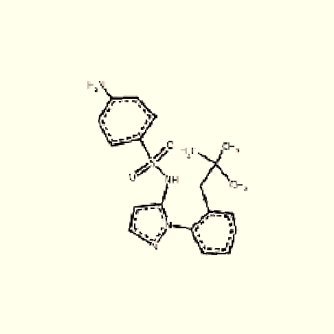 CC(C)(C)Cc1ccccc1-n1nccc1NS(=O)(=O)c1ccc(N)cc1